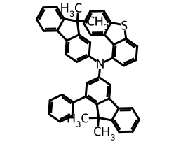 CC1(C)c2ccccc2-c2ccc(N(c3cc(-c4ccccc4)c4c(c3)-c3ccccc3C4(C)C)c3cccc4sc5ccccc5c34)cc21